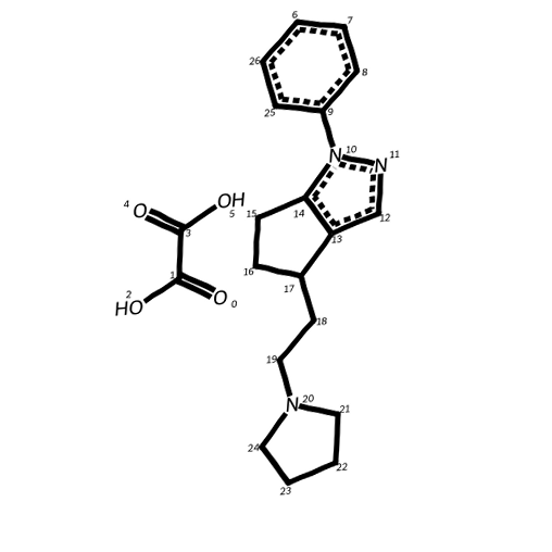 O=C(O)C(=O)O.c1ccc(-n2ncc3c2CCC3CCN2CCCC2)cc1